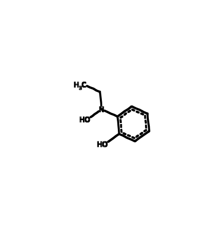 CCN(O)c1ccccc1O